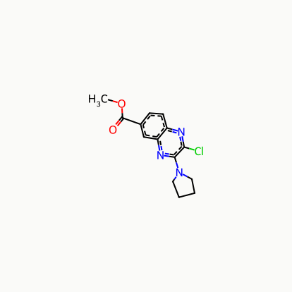 COC(=O)c1ccc2nc(Cl)c(N3CCCC3)nc2c1